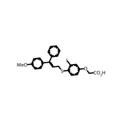 COc1ccc(C(=CCSc2ccc(OCC(=O)O)cc2I)c2ccccc2)cc1